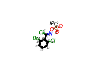 CC(C)S(=O)(=O)ON=C(Cl)c1c(Cl)cccc1Br